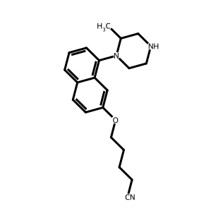 CC1CNCCN1c1cccc2ccc(OCCCCC#N)cc12